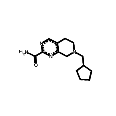 NC(=O)c1n[c]c2c(n1)CN(CC1CCCC1)CC2